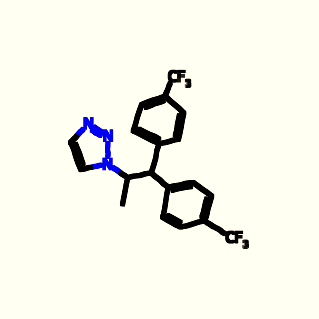 CC(C(c1ccc(C(F)(F)F)cc1)c1ccc(C(F)(F)F)cc1)n1ccnn1